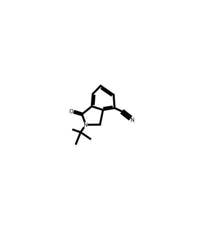 CC(C)(C)N1Cc2c(C#N)cccc2C1=O